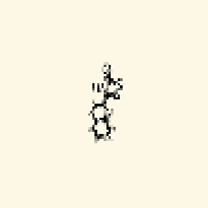 O=c1[nH]c(-c2ccc3ccccc3n2)ns1